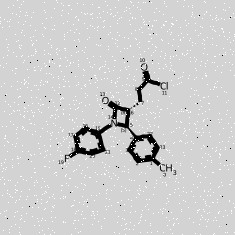 Cc1ccc([C@@H]2[C@@H](CCC(=O)Cl)C(=O)N2c2ccc(F)cc2)cc1